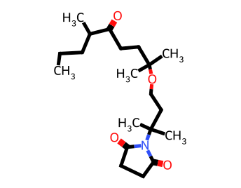 CCCC(C)C(=O)CCC(C)(C)OCCC(C)(C)N1C(=O)CCC1=O